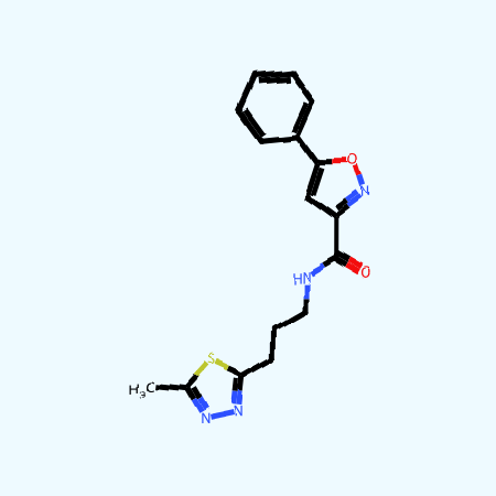 Cc1nnc(CCCNC(=O)c2cc(-c3ccccc3)on2)s1